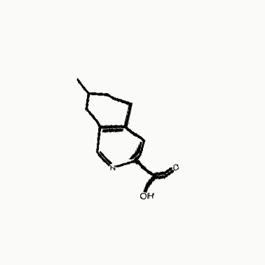 CC1CCc2cc(C(=O)O)ncc2C1